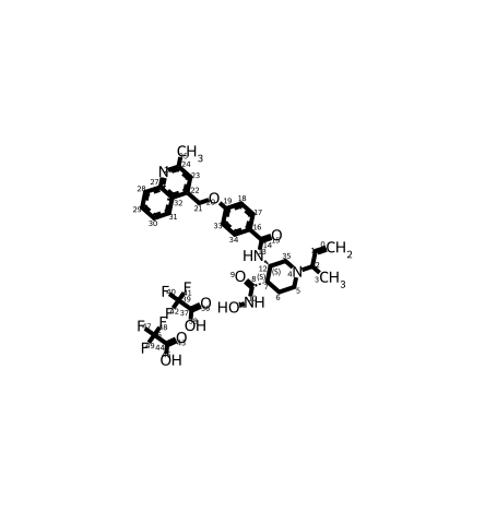 C=CC(C)N1CC[C@H](C(=O)NO)[C@H](NC(=O)c2ccc(OCc3cc(C)nc4ccccc34)cc2)C1.O=C(O)C(F)(F)F.O=C(O)C(F)(F)F